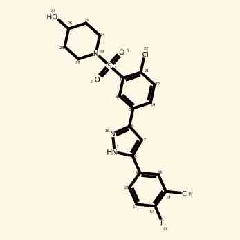 O=S(=O)(c1cc(-c2cc(-c3ccc(F)c(Cl)c3)[nH]n2)ccc1Cl)N1CCC(O)CC1